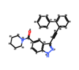 O=C(c1ccc2[nH]nc(C#Cc3ccccc3-c3ccccc3)c2c1)N1CCCCC1